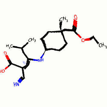 CCOC(=O)[C@]1(C)CC[C@@H](N/C(=C(\C=N)C(=O)O)C(C)C)CC1